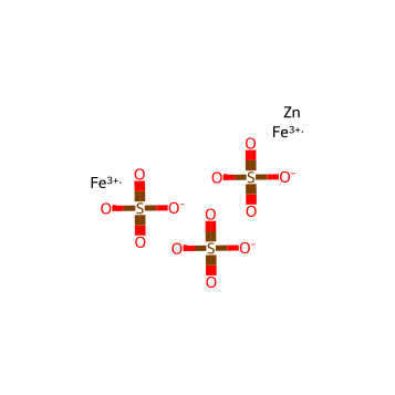 O=S(=O)([O-])[O-].O=S(=O)([O-])[O-].O=S(=O)([O-])[O-].[Fe+3].[Fe+3].[Zn]